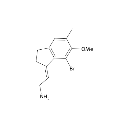 COc1c(C)cc2c(c1Br)C(=CCN)CC2